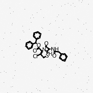 O=C(Cc1ccccc1)N[C@@H]1C(=O)N2C(C(=O)OC(c3ccccc3)c3ccccc3)=C(Cl)CS[C@@H]12